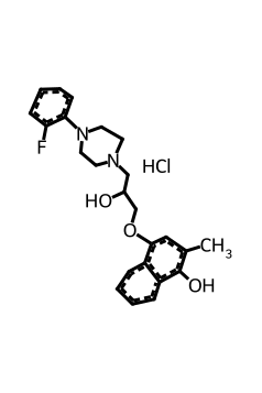 Cc1cc(OCC(O)CN2CCN(c3ccccc3F)CC2)c2ccccc2c1O.Cl